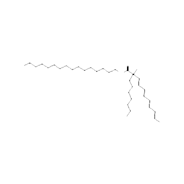 CCCCCCCCCCCCCCCCOC(=O)C(C)(CCCCCCC)CCCCCCCCC